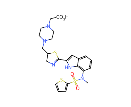 CN(c1cccc2cc(C3=NCC(CN4CCN(CC(=O)O)CC4)S3)[nH]c12)S(=O)(=O)c1cccs1